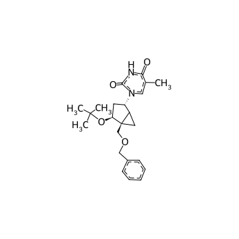 Cc1cn([C@H]2C[C@H](OC(C)(C)C)[C@@]3(COCc4ccccc4)CC23)c(=O)[nH]c1=O